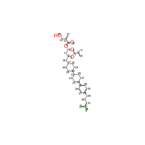 C=C(C)C(=O)OC(CCOC(=O)C(=C)CO)CC1CCC(C2CCC(c3ccc(CCC=C(F)F)cc3)CC2)CC1